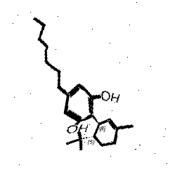 CCCCCCCc1cc(O)c([C@H]2C=C(C)CC[C@@H]2C(C)(C)C)c(O)c1